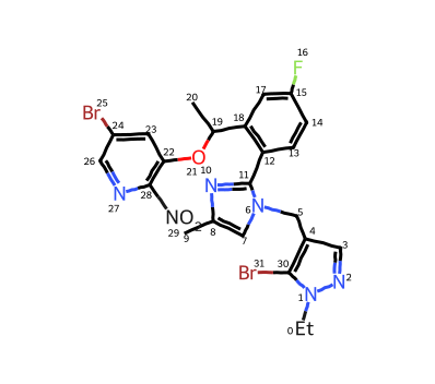 CCn1ncc(Cn2cc(C)nc2-c2ccc(F)cc2C(C)Oc2cc(Br)cnc2[N+](=O)[O-])c1Br